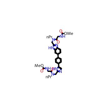 CCCN(Cc1ncc(-c2ccc(-c3ccc4nc(CN(CCC)C(=O)CNC(=O)OC)[nH]c4c3)cc2)[nH]1)C(=O)CNC(=O)OC